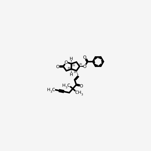 CC#CCC(C)(C)C(=O)C=C[C@@H]1[C@H]2CC(=O)O[C@H]2C[C@H]1OC(=O)c1ccccc1